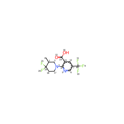 CC1CN(c2ncc(C(F)(F)F)cc2C(=O)O)CCC1(F)F